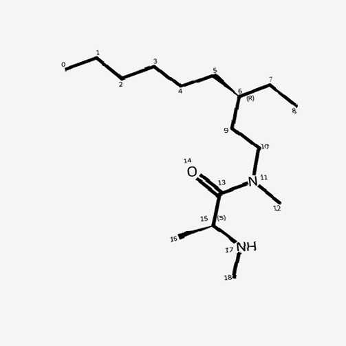 CCCCCC[C@@H](CC)CCN(C)C(=O)[C@H](C)NC